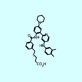 Cc1ccc(Nc2ccnc(-c3cc(N4CCCCC4)ccc3NC(=O)c3cccc(CSCCC(=O)O)c3)c2)cc1C